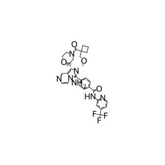 COCC1(C(=O)N2CCO[C@@H](C3=C4C=NC=C[N+]4(N)C(c4ccc(C(=O)Nc5cc(C(F)(F)F)ccn5)cc4)=N3)C2)CCC1